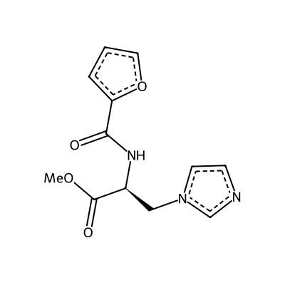 COC(=O)[C@H](Cn1ccnc1)NC(=O)c1ccco1